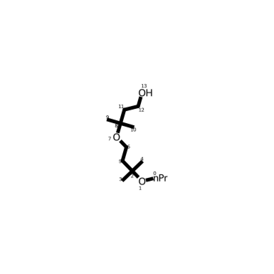 CCCOC(C)(C)CCOC(C)(C)CCO